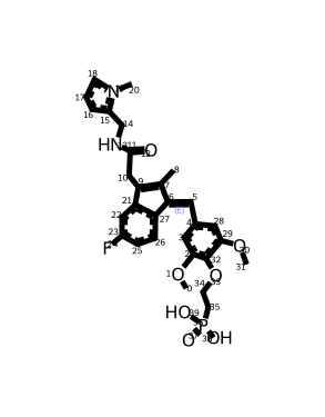 COc1cc(/C=C2/C(C)=C(CC(=O)NCc3cccn3C)c3cc(F)ccc32)cc(OC)c1OCCP(=O)(O)O